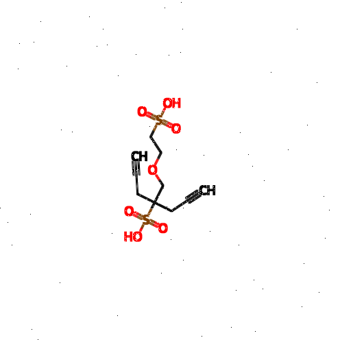 C#CCC(CC#C)(COCCS(=O)(=O)O)S(=O)(=O)O